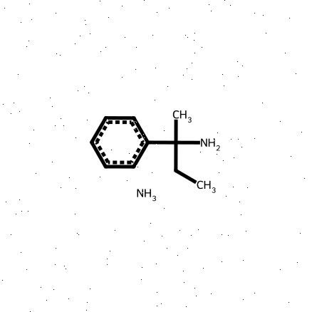 CCC(C)(N)c1ccccc1.N